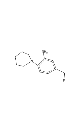 Nc1cc(CF)ccc1N1CCCCC1